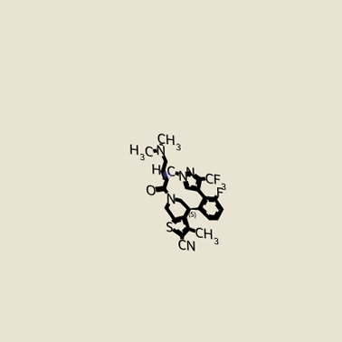 Cc1c(C#N)sc2c1[C@H](c1cccc(F)c1-c1cn(C)nc1C(F)(F)F)CN(C(=O)/C=C/CN(C)C)C2